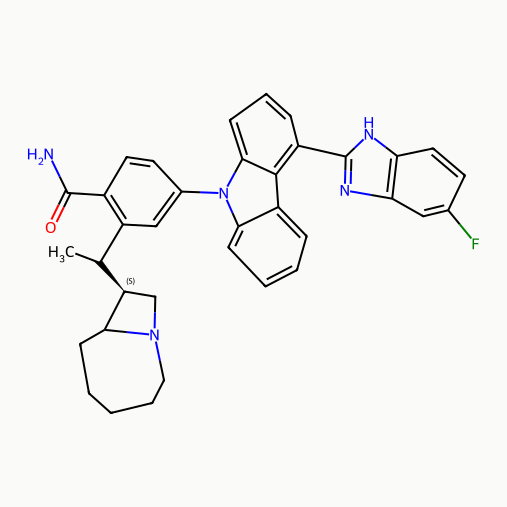 CC(c1cc(-n2c3ccccc3c3c(-c4nc5cc(F)ccc5[nH]4)cccc32)ccc1C(N)=O)[C@H]1CN2CCCCCC12